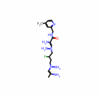 C/C(N)=C/N(N)CCC(F)CN(N)/C=C(\N)C(=O)NCc1cc(C(F)(F)F)ccn1